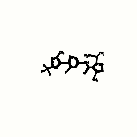 Cc1coc(C(C)C)c1C(=O)Nc1ccc(-c2cc(C(F)(F)F)nn2C)c(F)c1